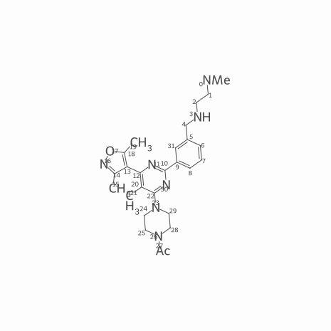 CNCCNCc1cccc(-c2nc(-c3c(C)noc3C)c(C)c(N3CCN(C(C)=O)CC3)n2)c1